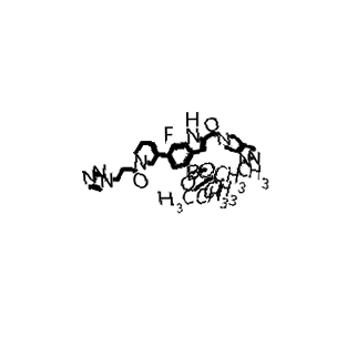 Cn1ncc2c1CN(C(=O)c1cc3c(B4OC(C)(C)C(C)(C)O4)cc(C4=CCCN(C(=O)CCn5ccnn5)C4)c(F)c3[nH]1)C2